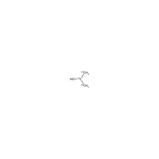 [13CH3][13CH]([13CH3])O